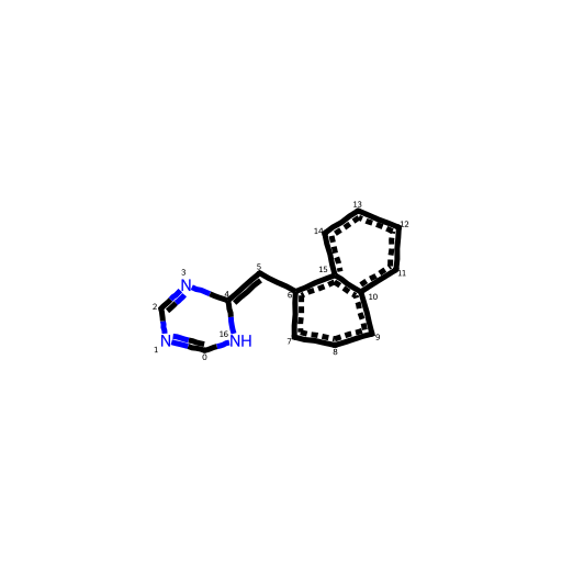 C1=NC=NC(=Cc2cccc3ccccc23)N1